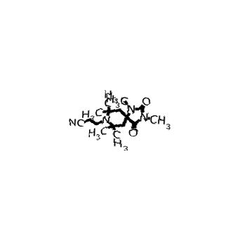 CN1C(=O)N(C)C2(CC(C)(C)N(CCC#N)C(C)(C)C2)C1=O